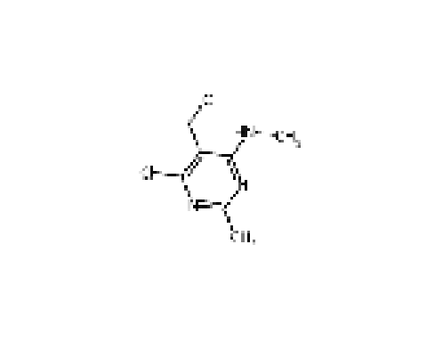 CNc1nc(C)nc(Cl)c1CCl